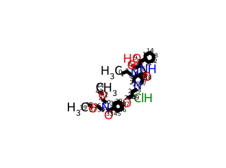 CCCCN1C(=O)[C@@H]([C@H](O)C2CCCCC2)NC(=O)C12CCN(CCCCOc1ccc(C(=O)N(CCOCC)CCOCC)cc1)CC2.Cl